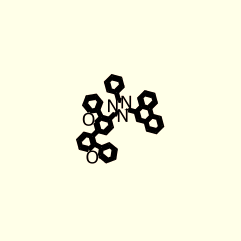 C1=CC2C=C(c3nc(-c4ccccc4)nc(-c4ccc(-c5cccc6oc7ccccc7c56)c5oc6ccccc6c45)n3)c3ccccc3C2C=C1